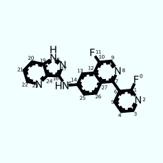 Fc1ncccc1-c1ncc(F)c2cc(Nc3n[nH]c4cccnc34)ccc12